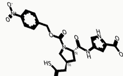 O=C(S)C[C@@H]1C[C@@H](C(=O)Nc2c[nH]c(C(=O)O)c2)N(C(=O)OCc2ccc([N+](=O)[O-])cc2)C1